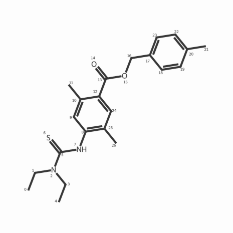 CCN(CC)C(=S)Nc1cc(C)c(C(=O)OCc2ccc(C)cc2)cc1C